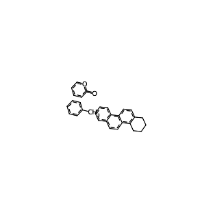 Cc1ccccc1.O=c1cccco1.c1ccc2c(c1)ccc1c3c(ccc12)CCCC3